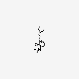 CCN(CC)CCCn1cccc(N)c1=O